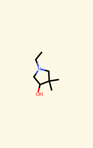 CCN1CC(O)C(C)(C)C1